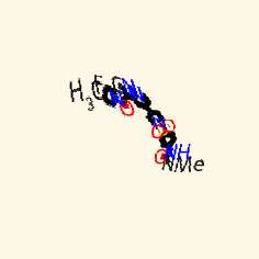 CNC(=O)Nc1ccc(S(=O)(=O)N2CCC(c3ccn4nc(C(F)(F)F)c(C(=O)N5CCC(C)CC5)c4c3)CC2)cc1